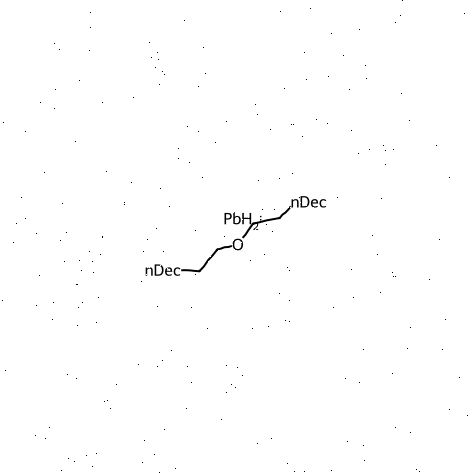 CCCCCCCCCCCCOCCCCCCCCCCCC.[PbH2]